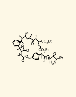 CCOC(=O)CCC(NC(=O)/C(C)=C/C(C(C)C)N(C)C(=O)CN1C(=O)C(N(C)C(=O)OCc2ccc(NC(=O)CNC(=O)C(N)C(C)C)cc2)C1(C)c1ccccc1)C(=O)OCC